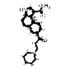 NC(=O)c1c[nH]c2ccc3cc(C(=O)CCN4CCCCC4)ccc3c12